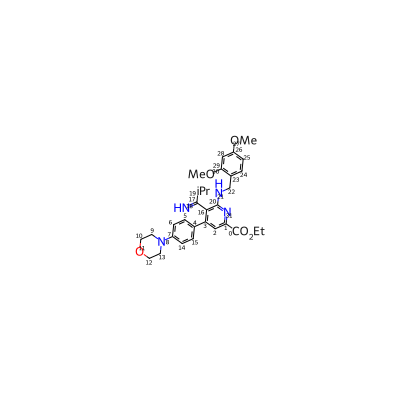 CCOC(=O)c1cc(-c2ccc(N3CCOCC3)cc2)c(C(=N)C(C)C)c(NCc2ccc(OC)cc2OC)n1